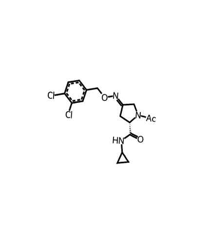 CC(=O)N1C/C(=N/OCc2ccc(Cl)c(Cl)c2)C[C@H]1C(=O)NC1CC1